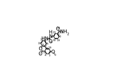 COc1ccc2c(=O)oc3ccc(NC(=O)Nc4cccc(C(N)=O)c4)cc3c2c1